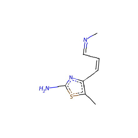 C/N=C\C=C/c1nc(N)sc1C